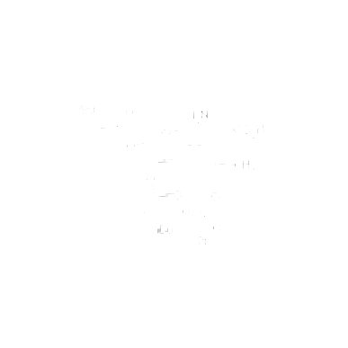 CCC(C)CC(=O)Oc1ccc(C(C(C)COC(=O)OC(C)C)[C@H](N)C(=O)O)cc1OC(=O)CC(C)CC